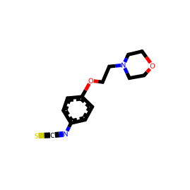 S=C=Nc1ccc(OCCN2CCOCC2)cc1